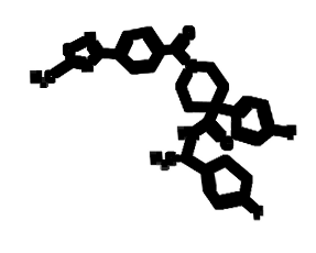 Cc1nc(-c2ccc(C(=O)N3CCC(C(=O)N[C@@H](C)C4=CC=C(F)CC4)(c4ccc(F)cc4)CC3)cc2)no1